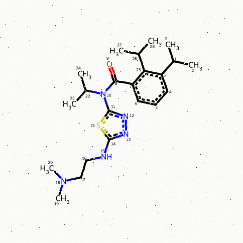 CC(C)c1cccc(C(=O)N(c2nnc(NCCN(C)C)s2)C(C)C)c1C(C)C